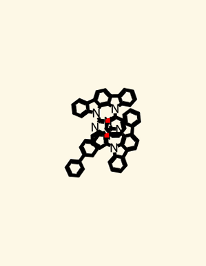 C1#CCC=C(n2c3ccccc3c3ccc4c5ccccc5n(-c5nc(C6=CC=C(c7ccccc7)CC6)nc(-n6c7ccccc7c7ccc8c9ccccc9n(-c9ccccc9)c8c76)n5)c4c32)C=C1